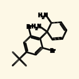 CC(C)(C)c1cc(Br)c(C2(N)C=CC=CC2N)c(Br)c1